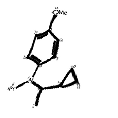 COc1ccc(N(C(C)C)C(C)C2CC2)cc1